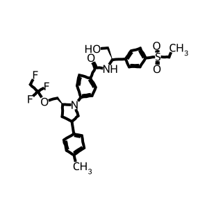 CCS(=O)(=O)c1ccc([C@H](CO)NC(=O)c2ccc(N3CC(c4ccc(C)cc4)C[C@H]3COC(F)(F)CF)cc2)cc1